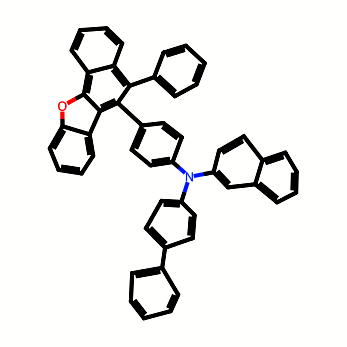 c1ccc(-c2ccc(N(c3ccc(-c4c(-c5ccccc5)c5ccccc5c5oc6ccccc6c45)cc3)c3ccc4ccccc4c3)cc2)cc1